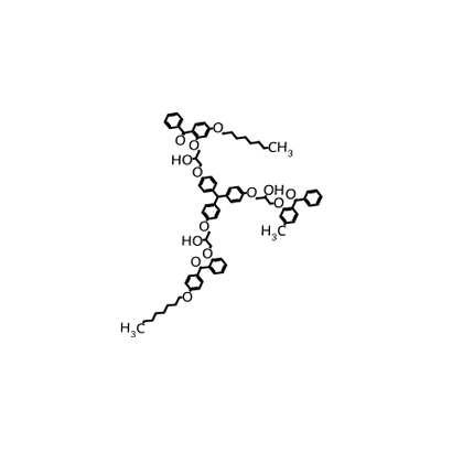 CCCCCCCCOc1ccc(C(=O)c2ccccc2OCC(O)COc2ccc(C(c3ccc(OCC(O)COc4cc(C)ccc4C(=O)c4ccccc4)cc3)c3ccc(OCC(O)COc4cc(OCCCCCCCC)ccc4C(=O)c4ccccc4)cc3)cc2)cc1